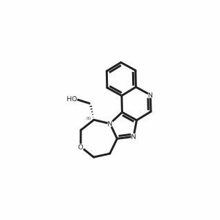 OC[C@H]1COCCc2nc3cnc4ccccc4c3n21